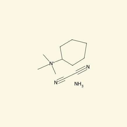 C[N+](C)(C)C1CCCCC1.N.N#CC#N